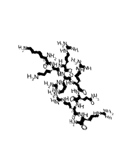 N=C(N)NCCC[C@H](NC(=O)[C@H](CCCNC(=N)N)NC(=O)[C@H](CCC(N)=O)NC(=O)[C@H](CCCNC(=N)N)NC(=O)[C@H](CCCNC(=N)N)NC(=O)[C@H](CCCNC(=N)N)NC(=O)[C@H](CCCCN)NC(=O)[C@@H](N)CCCCN)C(N)=O